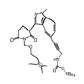 Cn1nc(C2CCC(=O)N(COCC[Si](C)(C)C)C2=O)c2cc(C#CCNC(=O)OC(C)(C)C)ccc21